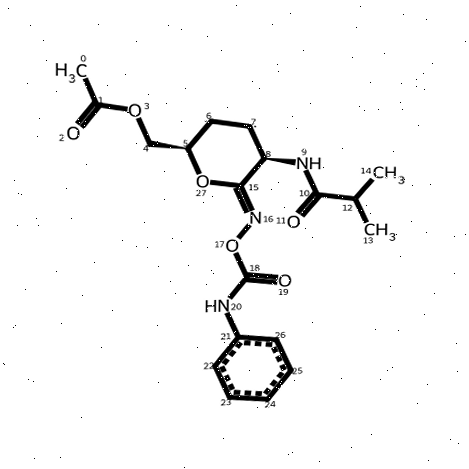 CC(=O)OC[C@H]1[CH][CH][C@@H](NC(=O)C(C)C)C(=NOC(=O)Nc2ccccc2)O1